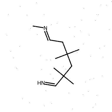 C/N=C/CC(C)(C)CC(C)(C)C=N